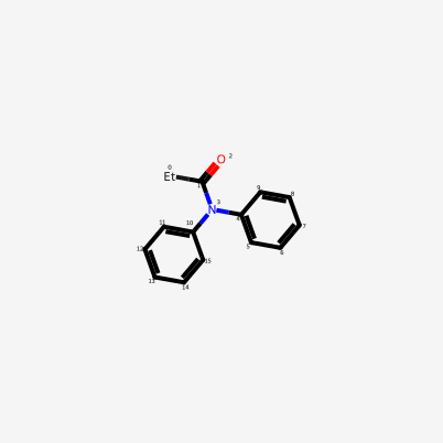 CCC(=O)N(c1ccccc1)c1ccccc1